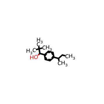 CCC(C)c1ccc(C(O)C(C)(C)C)cc1